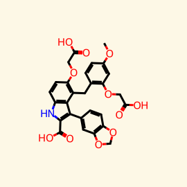 COc1ccc(Cc2c(OCC(=O)O)ccc3[nH]c(C(=O)O)c(-c4ccc5c(c4)OCO5)c23)c(OCC(=O)O)c1